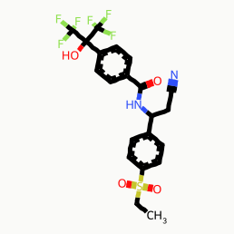 CCS(=O)(=O)c1ccc(C(CC#N)NC(=O)c2ccc(C(O)(C(F)(F)F)C(F)(F)F)cc2)cc1